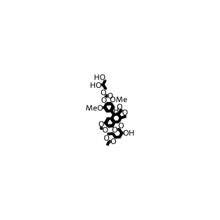 COc1cc(C2c3cc4c(cc3C(OC3OC5COC(C)OC5CC3O)C3COC(=O)[C@H]23)OCO4)cc(OC)c1OC(=O)OCC(O)CO